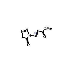 COC(=O)/C=C/N1N=NCC1=O